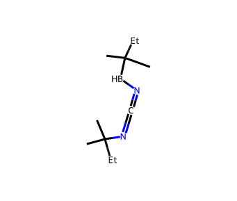 CCC(C)(C)BN=C=NC(C)(C)CC